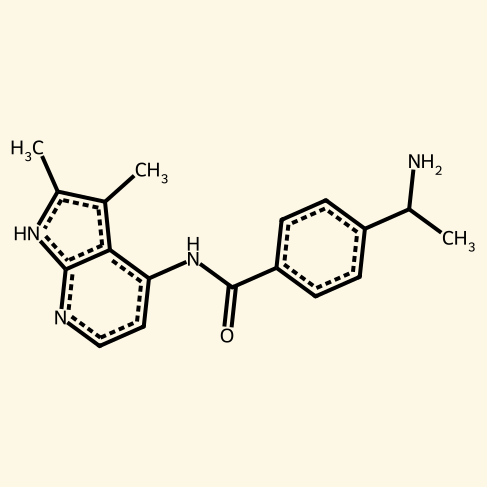 Cc1[nH]c2nccc(NC(=O)c3ccc(C(C)N)cc3)c2c1C